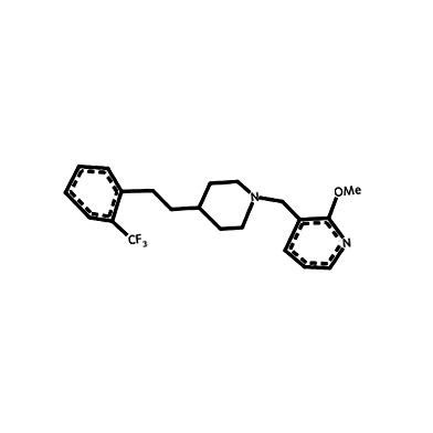 COc1ncccc1CN1CCC(CCc2ccccc2C(F)(F)F)CC1